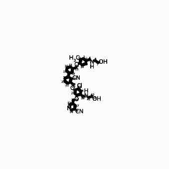 Cc1cc(CNCCO)ccc1OCc1cccc(-c2cccc(COc3cc(OCc4cncc(C#N)c4)c(CNCCO)cc3Cl)c2C#N)c1